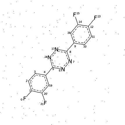 Fc1ccc(-c2nnc(-c3ccc(F)c(F)c3)nn2)cc1F